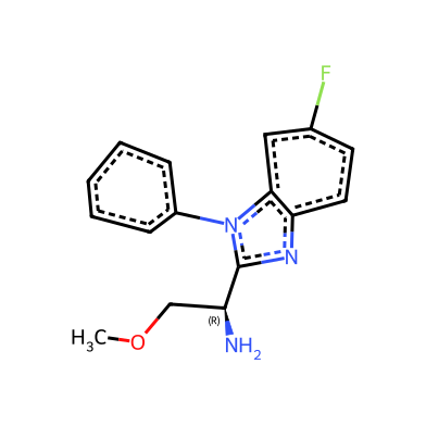 COC[C@H](N)c1nc2ccc(F)cc2n1-c1ccccc1